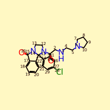 O=C(CNCCN1CCCC1)N1CCN2C(=O)c3ccccc3C12c1ccc(Cl)cc1